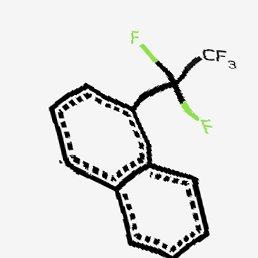 FC(F)(F)C(F)(F)c1cc[c]c2ccccc12